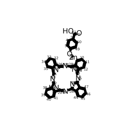 O=C(O)c1ccc([O][Zn][c]2cccc3c4nc5nc(nc6[nH]c(nc7nc(nc([nH]4)c23)-c2ccccc2-7)c2ccccc62)-c2ccccc2-5)cc1